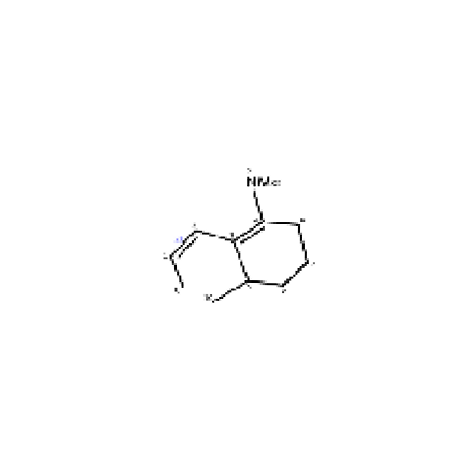 C/C=C\C1=C(NC)CCCC1C